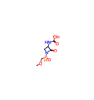 COC[PH](=O)N1CC(NC(=O)O)C1=O